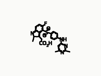 Cc1cc(Nc2ccc(S(=O)(=O)c3c(F)ccc4c3=C(CC(=O)O)C(C)N=4)cc2)nc(C)n1